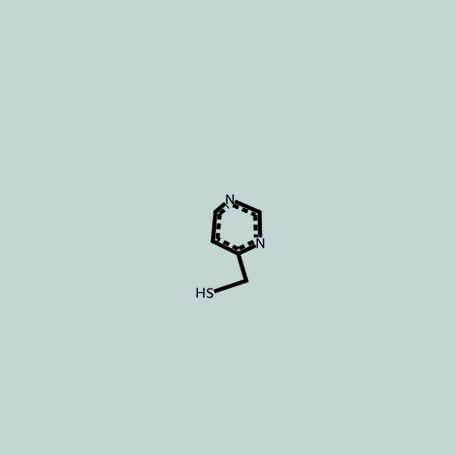 SCc1ccncn1